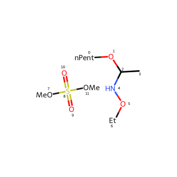 CCCCCOC(C)NOCC.COS(=O)(=O)OC